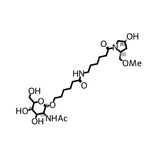 COC[C@@H]1C[C@@H](O)CN1C(=O)CCCCCNC(=O)CCCCCO[C@@H]1OC(CO)[C@H](O)C(O)[C@@H]1NC(C)=O